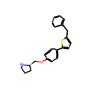 c1ccc(Cc2ccc(-c3ccc(OC[C@H]4CCCN4)cc3)s2)cc1